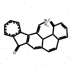 C=C1C=CC=C2C=CC3=CC4=C(/C(=C/C)C3C12)c1ccccc1C4=O